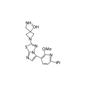 COc1nc(C(C)C)ccc1-c1cnc2sc(N3CC(O)(CN)C3)nn12